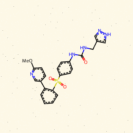 COc1ccc(-c2ccccc2S(=O)(=O)c2ccc(NC(=O)NCc3cn[nH]c3)cc2)cn1